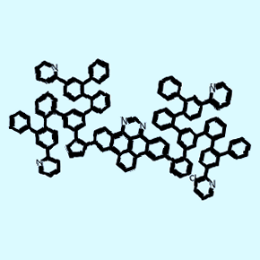 Clc1ccc(-c2ccc3c(c2)c2cccc4c5cc(C6=C(c7cc(-c8ccccc8-c8ccc(-c9ccccn9)cc8-c8ccccc8)cc(-c8ccccc8-c8ccc(-c9ccccn9)cc8-c8ccccc8)c7)CC=C6)ccc5c5ncnc3c5c42)c(-c2cc(-c3ccccc3-c3ccc(-c4ccccn4)cc3-c3ccccc3)cc(-c3ccccc3-c3ccc(-c4ccccn4)cc3-c3ccccc3)c2)c1